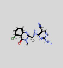 C[C@@H](Nc1nc(N)ncc1C#N)c1nc2cccc(Cl)c2c(=O)n1C